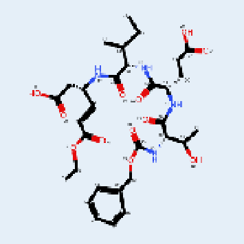 CCOC(=O)/C=C/[C@H](CC(=O)O)NC(=O)[C@@H](NC(=O)[C@H](CCC(=O)O)NC(=O)[C@@H](NC(=O)OCc1ccccc1)C(C)O)C(C)CC